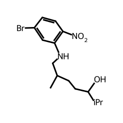 CC(CCC(O)C(C)C)CNc1cc(Br)ccc1[N+](=O)[O-]